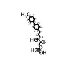 Cc1ccc(-c2ccc(CCCN(O)C(=O)COP(O)O)cc2)cc1